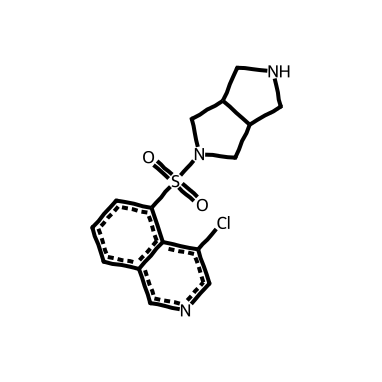 O=S(=O)(c1cccc2cncc(Cl)c12)N1CC2CNCC2C1